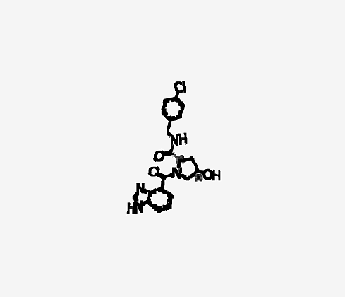 O=C(NCc1ccc(Cl)cc1)[C@@H]1C[C@@H](O)CN1C(=O)c1cccc2[nH]cnc12